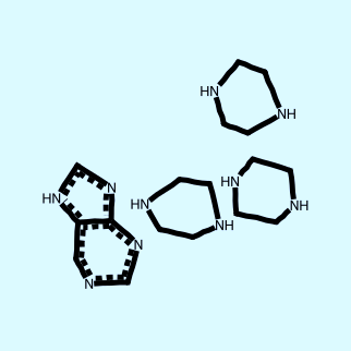 C1CNCCN1.C1CNCCN1.C1CNCCN1.c1ncc2[nH]cnc2n1